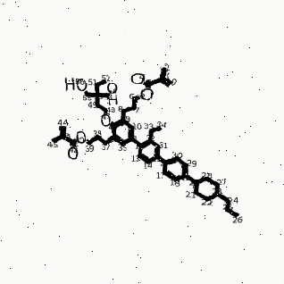 C=C(C)C(=O)OCCCc1cc(-c2ccc(-c3ccc(C4CCC(CCC)CC4)cc3)cc2CC)cc(CCCOC(=O)C(=C)C)c1OCCC(CC)(CO)CO